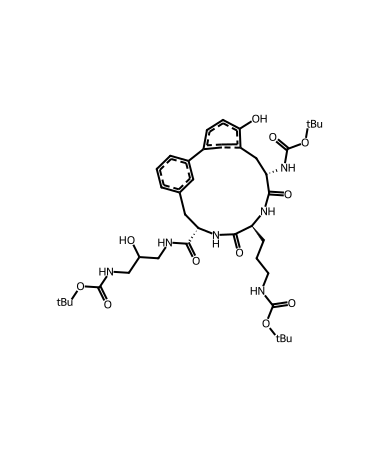 CC(C)(C)OC(=O)NCCC[C@@H]1NC(=O)[C@@H](NC(=O)OC(C)(C)C)Cc2cc(ccc2O)-c2cccc(c2)C[C@@H](C(=O)NCC(O)CNC(=O)OC(C)(C)C)NC1=O